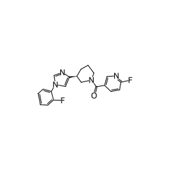 O=C(c1ccc(F)nc1)N1CCC[C@H](c2cn(-c3ccccc3F)cn2)C1